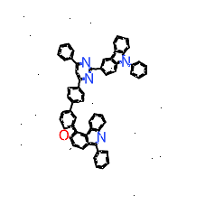 c1ccc(-c2cc(-c3ccc(-c4ccc5oc6ccc7c(-c8ccccc8)nc8ccccc8c7c6c5c4)cc3)nc(-c3ccc4c(c3)c3ccccc3n4-c3ccccc3)n2)cc1